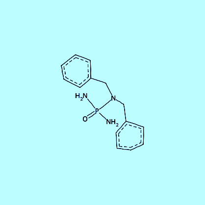 NP(N)(=O)N(Cc1ccccc1)Cc1ccccc1